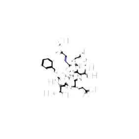 CCOC(=O)/C=C/C(=O)N(CC(=O)O)NC(=O)[C@@H](NC(=O)[C@H](CCC(=O)O)NC(=O)[C@@H](NC(=O)OCc1ccccc1)C(C)C)C(C)C